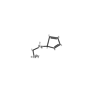 CCC[CH2][Fe][CH]1C=CC=C1